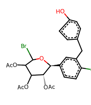 CC(=O)OC1C(Br)O[C@@H](c2ccc(Cl)c(Cc3ccc(O)cc3)c2)[C@H](OC(C)=O)C1OC(C)=O